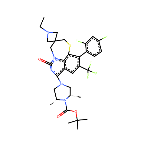 CCN1CC2(CSc3c(-c4ccc(F)cc4F)c(C(F)(F)F)cc4c(N5C[C@@H](C)N(C(=O)OC(C)(C)C)[C@@H](C)C5)nc(=O)n(c34)C2)C1